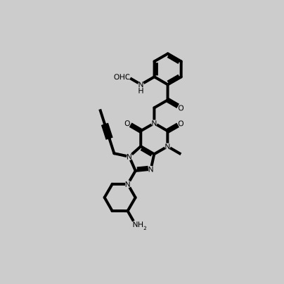 CC#CCn1c(N2CCCC(N)C2)nc2c1c(=O)n(CC(=O)c1ccccc1NC=O)c(=O)n2C